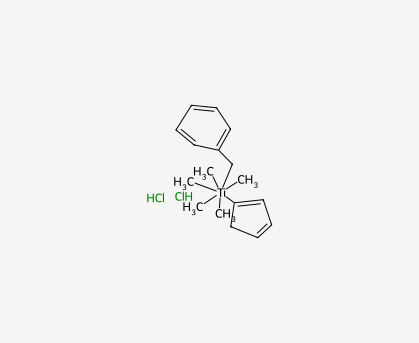 Cl.Cl.[CH3][Ti]([CH3])([CH3])([CH3])([CH3])([CH2]c1ccccc1)[C]1=CC=CC1